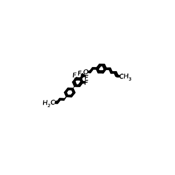 C=CCC[C@H]1CC[C@H](c2cc(F)c(C(F)(F)OCCc3ccc(CC/C=C/C)cc3)c(F)c2)CC1